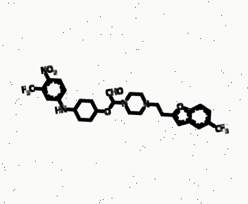 O=CC(OC1CCC(Nc2ccc([N+](=O)[O-])c(C(F)(F)F)c2)CC1)N1CCN(CCc2cc3cc(C(F)(F)F)ccc3o2)CC1